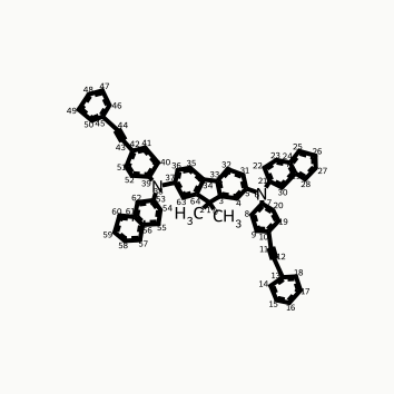 CC1(C)c2cc(N(c3ccc(C#Cc4ccccc4)cc3)c3ccc4ccccc4c3)ccc2-c2ccc(N(c3ccc(C#Cc4ccccc4)cc3)c3ccc4ccccc4c3)cc21